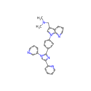 CN(C)Cc1cn(-c2ccc(-c3nc(-c4ccccn4)cn3-c3cccnc3)cc2)c2ncccc12